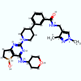 Cc1nn(C)cc1CNC(=O)c1cccc(C2CCN(c3nc4c(c(NC5CCOCC5)n3)[S+]([O-])CC4)CC2)c1